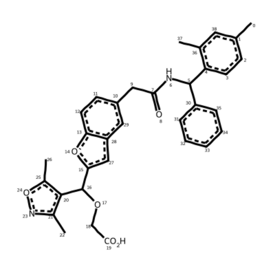 Cc1ccc(C(NC(=O)Cc2ccc3oc(C(OCC(=O)O)c4c(C)noc4C)cc3c2)c2ccccc2)c(C)c1